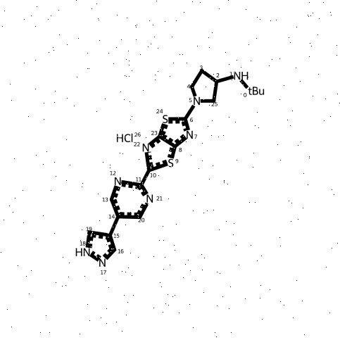 CC(C)(C)NC1CCN(c2nc3sc(-c4ncc(-c5cn[nH]c5)cn4)nc3s2)C1.Cl